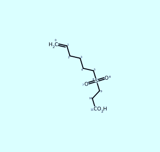 C=CCCCCS(=O)(=O)CCC(=O)O